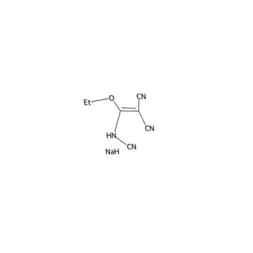 CCOC(NC#N)=C(C#N)C#N.[NaH]